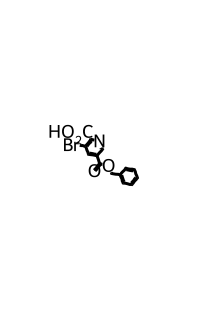 O=C(OCc1ccccc1)c1cnc(C(=O)O)c(Br)c1